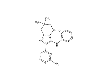 CC1(C)CC(=O)c2c([nH]c(-c3ccnc(N)n3)c2Nc2ccccc2)C1